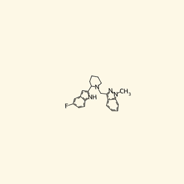 Cn1nc(CN2CCCCC2c2cc3cc(F)ccc3[nH]2)c2ccccc21